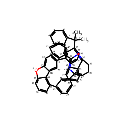 CC1(C)c2ccccc2-c2c(-c3ccc4oc5cccc(-c6cccc(C7=C/CC/C(c8ccccc8)=N/C(c8ccccc8)=N\7)c6)c5c4c3)cccc21